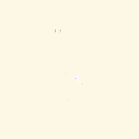 C=CCCC(CCCCCCC)[N+](=O)[O-]